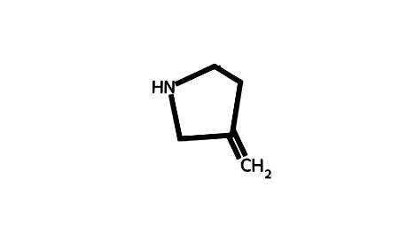 C=C1C[CH]NC1